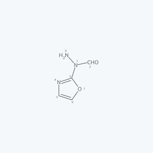 NN(C=O)c1ncco1